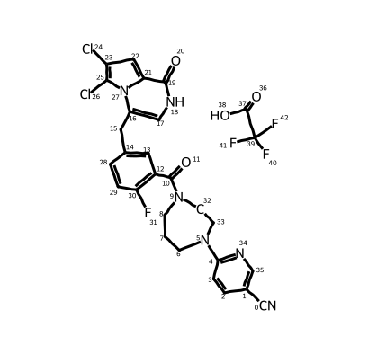 N#Cc1ccc(N2CCCN(C(=O)c3cc(Cc4c[nH]c(=O)c5cc(Cl)c(Cl)n45)ccc3F)CC2)nc1.O=C(O)C(F)(F)F